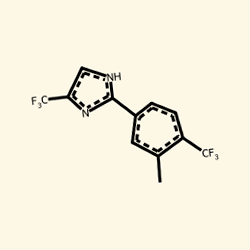 Cc1cc(-c2nc(C(F)(F)F)c[nH]2)ccc1C(F)(F)F